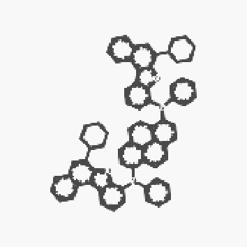 c1ccc(N(c2ccc3ccc4c(N(c5ccccc5)c5cccc6c5oc5c(C7CCCCC7)cc7ccccc7c56)ccc5ccc2c3c54)c2cccc3c2oc2c(C4CCCCC4)cc4ccccc4c23)cc1